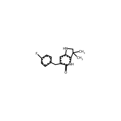 CC1(C)CNc2cc(Cc3ccc(F)cc3)c(=O)[nH]c21